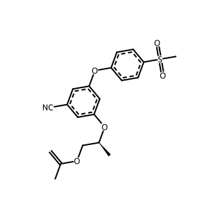 C=C(C)OC[C@H](C)Oc1cc(C#N)cc(Oc2ccc(S(C)(=O)=O)cc2)c1